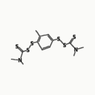 Cc1cc(SSC(=S)N(C)C)ccc1SSC(=S)N(C)C